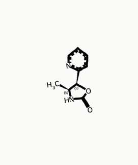 C[C@@H]1NC(=O)O[C@@H]1c1ccccn1